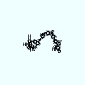 Cc1ccc(N[C@H]2CNCC2(F)F)cc1C(=O)N[C@H](C)c1ccc(C#CC2CCN(CC3CCN(C(=O)C4CCN(c5ccc6c([C@@]7(C)CCC(=O)NC7=O)nn(C)c6c5)CC4)CC3)CC2)c2ccccc12